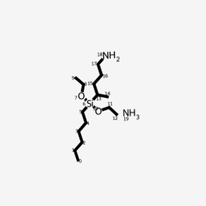 CCCCCC[Si](OCC)(OCC)C(C)CCCN.N